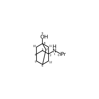 CC(C)NC12CC3CC(CC(O)(C3)C1)C2